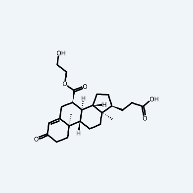 C[C@]12CC[C@H]3[C@@H]([C@H](C(=O)OCCO)CC4=CC(=O)CC[C@@]43C)[C@@H]1CC[C@H]2CCC(=O)O